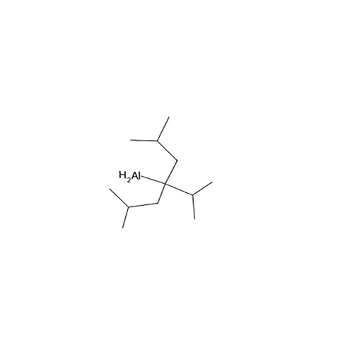 CC(C)C[C]([AlH2])(CC(C)C)C(C)C